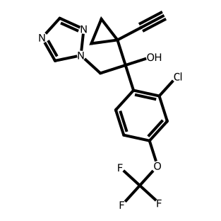 C#CC1(C(O)(Cn2cncn2)c2ccc(OC(F)(F)F)cc2Cl)CC1